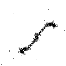 CN1Cc2c(Cl)cc(Cl)cc2C(c2ccc(S(=O)(=O)NCCOCCOCCOCCCC(=O)NCNc3ccc(NC(=O)NCCOCCOCCOCCNS(=O)(=O)c4ccc(C5CN(C)Cc6c(Cl)cc(Cl)cc65)cc4)cc3)cc2)C1